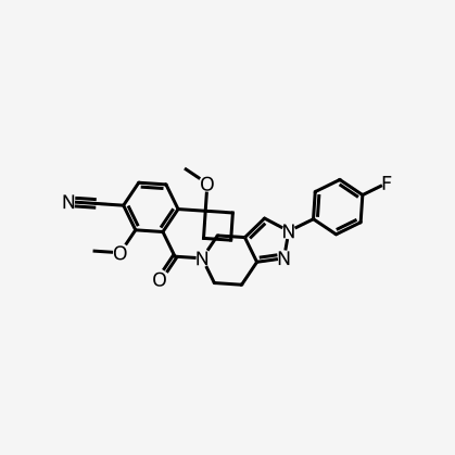 COc1c(C#N)ccc(C2(OC)CCC2)c1C(=O)N1CCc2nn(-c3ccc(F)cc3)cc2C1